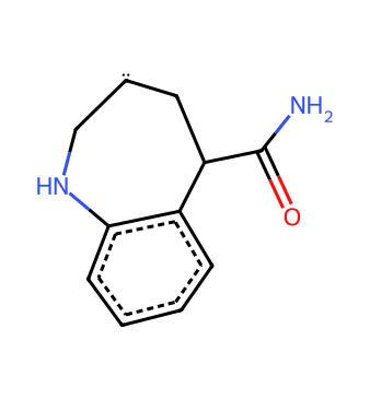 NC(=O)C1C[C]CNc2ccccc21